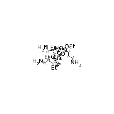 CCO[Si](O)(CCCN)O[Si](CCCN)(OCC)O[Si](CCCN)(OCC)OCC